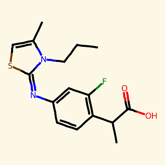 CCCn1c(C)csc1=Nc1ccc(C(C)C(=O)O)c(F)c1